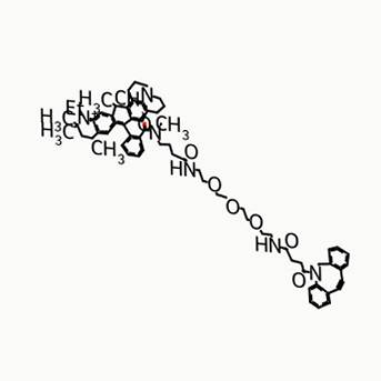 CC[N+]1=c2cc3c(cc2C(C)CC1(C)C)=C(c1ccccc1C(=O)N(C)CCCC(=O)NCCOCCOCCOCCNC(=O)CCC(=O)N1Cc2ccccc2C#Cc2ccccc21)c1cc2c4c(c1C3(C)C)CCCN4CCC2